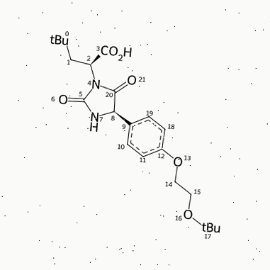 CC(C)(C)C[C@@H](C(=O)O)N1C(=O)N[C@H](c2ccc(OCCOC(C)(C)C)cc2)C1=O